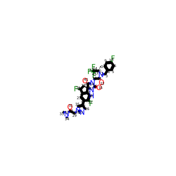 C[C@H](N(Cc1ccc(F)cc1)C(=O)CN1C(=O)N[C@@]2(C[C@H](F)c3cc(-c4cnn(CC(=O)N(C)C)c4)c(F)cc32)C1=O)C(F)(F)F